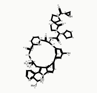 CCn1c(-c2cccnc2[C@H](C)OC)c2c3cc(ccc31)-c1cc(O)cc(c1)C[C@H](NC(=O)[C@H](C1CCCC1)N1CC[C@@]3(CCN(C(=O)[C@H]4CN4)C3)C1=O)C(=O)N1CCC[C@H](N1)C(=O)OCC(C)(C)C2